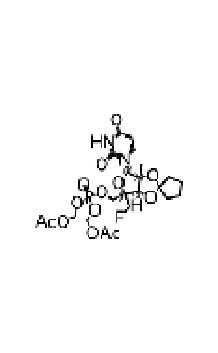 CC(=O)OCOP(=O)(OCOC(C)=O)OC[C@@]1(CF)O[C@@H](n2ccc(=O)[nH]c2=O)[C@]2(C)OC3(CCCC3)O[C@H]12